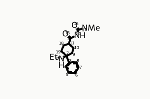 CCNC1(c2ccccc2)CCC(C(=O)NC(=O)NC)CC1